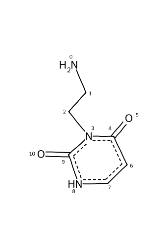 NCCn1c(=O)cc[nH]c1=O